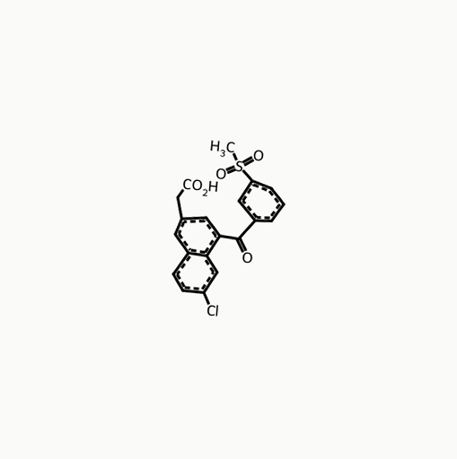 CS(=O)(=O)c1cccc(C(=O)c2cc(CC(=O)O)cc3ccc(Cl)cc23)c1